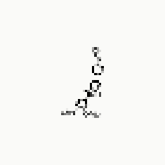 COc1ccc(-c2[nH]c3ccc(C4CCN(C(C)CO)CC4)cc3c2C)cc1OC